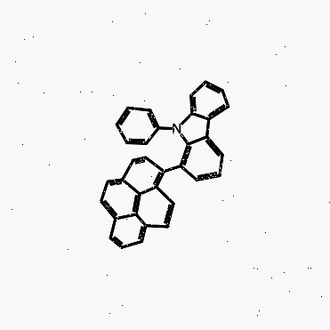 c1ccc(-n2c3ccccc3c3cccc(-c4ccc5ccc6cccc7ccc4c5c67)c32)cc1